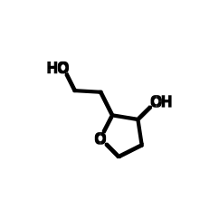 OCCC1OCCC1O